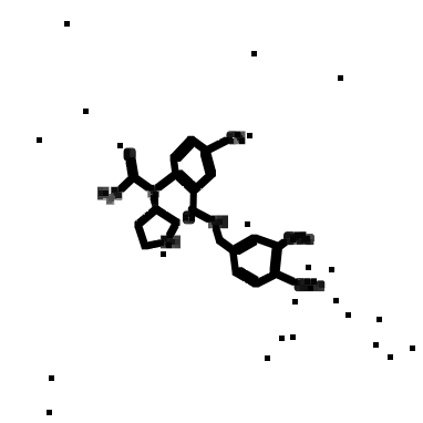 COc1ccc(CNC(=O)c2cc(C#N)ccc2N(C(N)=O)[C@@H]2CCNC2)cc1OC